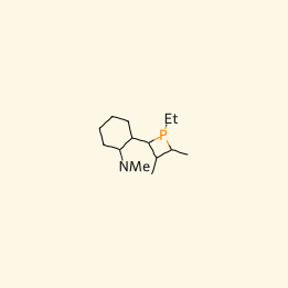 CCP1C(C)C(C)C1C1CCCCC1NC